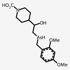 COc1ccc(C[AsH]CC(O)C2CCN(C(=O)O)CC2)c(OC)c1